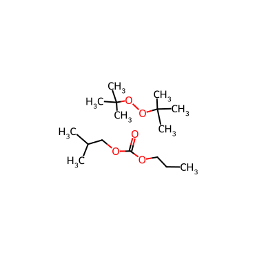 CC(C)(C)OOC(C)(C)C.CCCOC(=O)OCC(C)C